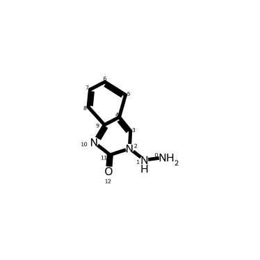 NNn1cc2ccccc2nc1=O